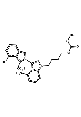 CC(C)(C)OC(=O)NCCCCn1nc(-c2cc3cccc(O)c3n2C(=O)O)c2c(N)ncnc21